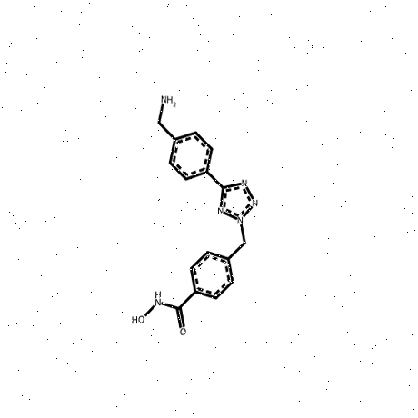 NCc1ccc(-c2nnn(Cc3ccc(C(=O)NO)cc3)n2)cc1